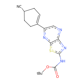 CC(C)(C)OC(=O)Nc1nc2ncc(C3=CCC(C#N)CC3)nc2s1